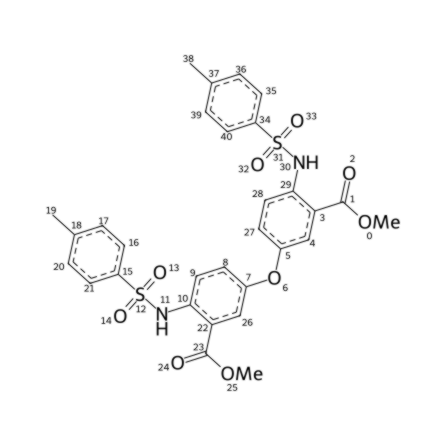 COC(=O)c1cc(Oc2ccc(NS(=O)(=O)c3ccc(C)cc3)c(C(=O)OC)c2)ccc1NS(=O)(=O)c1ccc(C)cc1